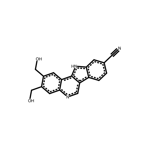 N#Cc1ccc2c(c1)[nH]c1c3cc(CO)c(CO)cc3ncc21